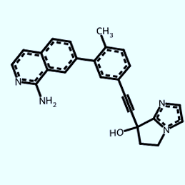 Cc1ccc(C#CC2(O)CCn3ccnc32)cc1-c1ccc2ccnc(N)c2c1